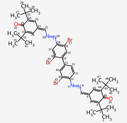 CC(C)(C)C1=CC(=C/N=N/c2ccc(-c3cc(Br)c(/N=N/C=C4C=C(C(C)(C)C)C(=O)C(C(C)(C)C)=C4)cc3Br)cc2Br)C=C(C(C)(C)C)C1=O